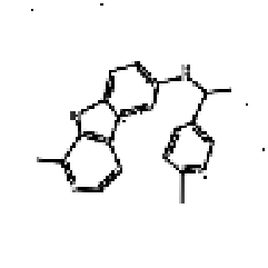 Cc1ccc(C(C)Nc2ccc3[nH]c4c(C)nccc4c3c2)cc1